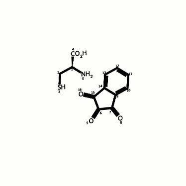 N[C@@H](CS)C(=O)O.O=c1c(=O)c2ccccc2c1=O